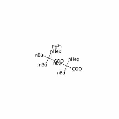 CCCCCCC(CCCC)(CCCC)C(=O)[O-].CCCCCCC(CCCC)(CCCC)C(=O)[O-].[Pb+2]